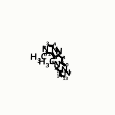 Cc1nccn2nc(Cc3cn4nccc4cn3)c(C)c12